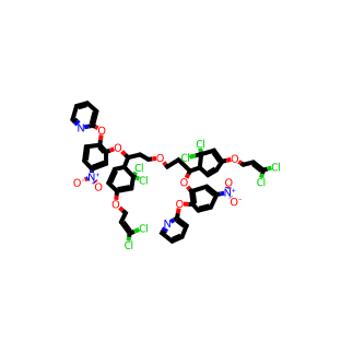 O=[N+]([O-])c1ccc(Oc2ccccn2)c(OC(CCOCCC(Oc2cc([N+](=O)[O-])ccc2Oc2ccccn2)C2C=CC(OCC=C(Cl)Cl)=CC2(Cl)Cl)C2C=CC(OCC=C(Cl)Cl)=CC2(Cl)Cl)c1